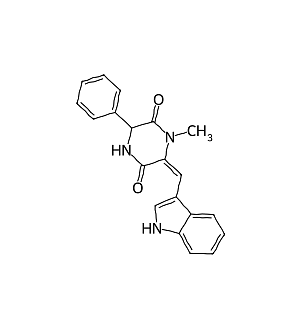 CN1C(=O)C(c2ccccc2)NC(=O)/C1=C\c1c[nH]c2ccccc12